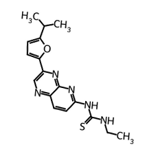 CCNC(=S)Nc1ccc2ncc(-c3ccc(C(C)C)o3)nc2n1